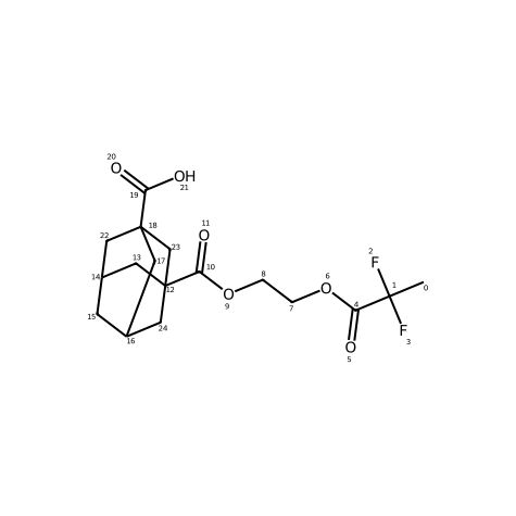 CC(F)(F)C(=O)OCCOC(=O)C12CC3CC(CC(C(=O)O)(C3)C1)C2